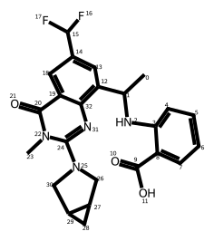 CC(Nc1ccccc1C(=O)O)c1cc(C(F)F)cc2c(=O)n(C)c(N3CC4CC4C3)nc12